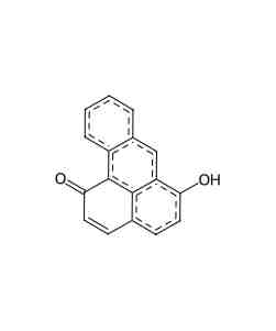 O=C1C=Cc2ccc(O)c3cc4ccccc4c1c23